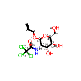 C=CCO[C@H]1O[C@H](CO)[C@@H](O)[C@H](O)[C@@H]1NC(=O)C(Cl)(Cl)Cl